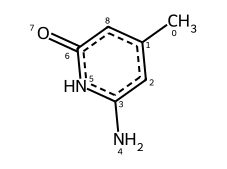 Cc1cc(N)[nH]c(=O)c1